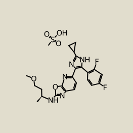 COCC[C@H](C)Nc1nc2ccc(-c3nc(C4CC4)[nH]c3-c3ccc(F)cc3F)nc2o1.CS(=O)(=O)O